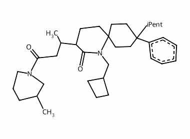 CCCC(C)C1(c2ccccc2)CCC2(CCC(C(C)CC(=O)N3CCCC(C)C3)C(=O)N2CC2CCC2)CC1